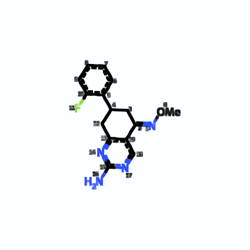 CO/N=C1\CC(c2ccccc2F)Cc2nc(N)ncc21